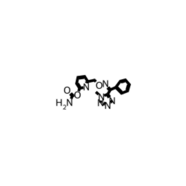 Cn1nnnc1C(=NOCc1cccc(OC(N)=O)n1)c1ccccc1